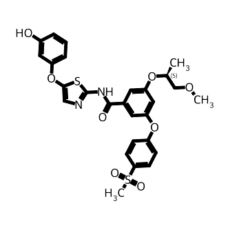 COC[C@H](C)Oc1cc(Oc2ccc(S(C)(=O)=O)cc2)cc(C(=O)Nc2ncc(Oc3cccc(O)c3)s2)c1